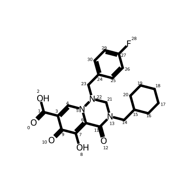 O=C(O)c1cn2c(c(O)c1=O)C(=O)N(CC1CCCCC1)CN2Cc1ccc(F)cc1